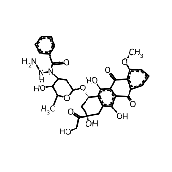 COc1cccc2c1C(=O)c1c(O)c3c(c(O)c1C2=O)C[C@@](O)(C(=O)CO)C[C@@H]3OC1CC(N(NN)C(=O)c2ccccc2)C(O)C(C)O1